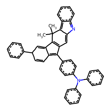 CC1(C)C2=C(C=C3N=c4ccccc4=C31)C(c1ccc(N(c3ccccc3)c3ccccc3)cc1)=C1C=CC(c3ccccc3)C=C12